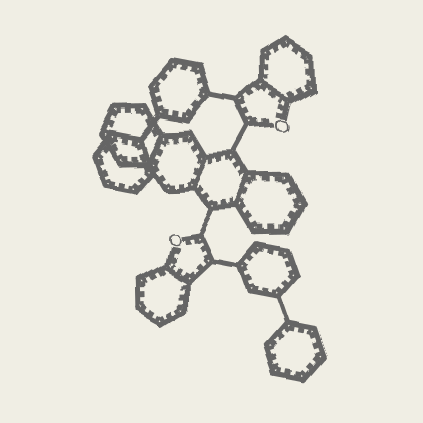 c1ccc(-c2cccc(-c3c(-c4c5ccccc5c(-c5oc6ccccc6c5-c5cccc(-c6ccccc6)c5)c5cc6ccccc6cc45)oc4ccccc34)c2)cc1